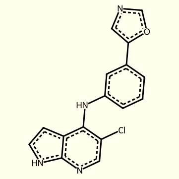 Clc1cnc2[nH]ccc2c1Nc1cccc(-c2cnco2)c1